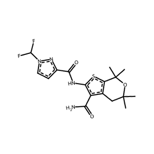 CC1(C)Cc2c(sc(NC(=O)c3ccn(C(F)F)n3)c2C(N)=O)C(C)(C)O1